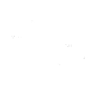 CCCC(CCC)Nc1ccc(OC)c(C(C)(C)C)c1